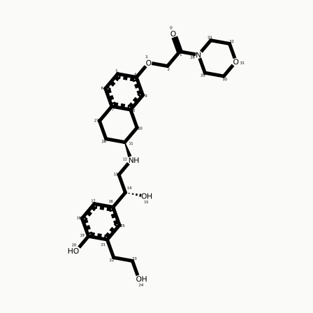 O=C(COc1ccc2c(c1)C[C@@H](NC[C@H](O)c1ccc(O)c(CCO)c1)CC2)N1CCOCC1